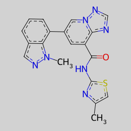 Cc1csc(NC(=O)c2cc(-c3cccc4cnn(C)c34)cn3ncnc23)n1